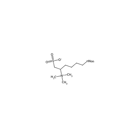 CCCCCCCCCCCCCC(CS(=O)(=O)[O-])[N+](C)(C)C